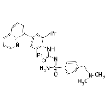 CC(C)c1cc(-c2cccc3cccnc23)cc(C(C)C)c1NC(=O)N=S(N)(=O)c1ccc(CN(C)C)cc1